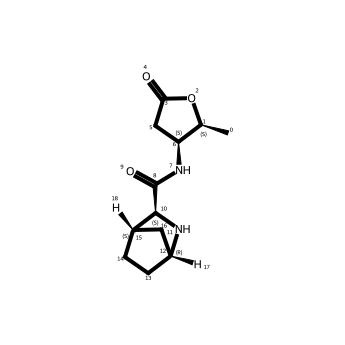 C[C@@H]1OC(=O)C[C@@H]1NC(=O)[C@H]1N[C@@H]2CC[C@H]1C2